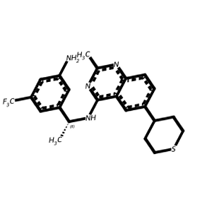 Cc1nc(N[C@H](C)c2cc(N)cc(C(F)(F)F)c2)c2cc(C3CCSCC3)ccc2n1